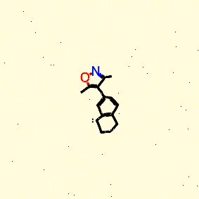 Cc1noc(C)c1-c1ccc2c(c1)[C]CCC2